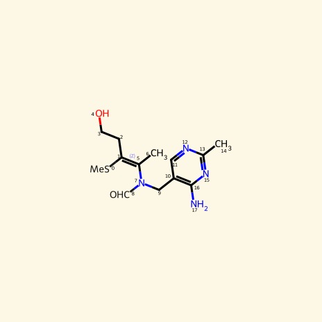 CS/C(CCO)=C(/C)N(C=O)Cc1cnc(C)nc1N